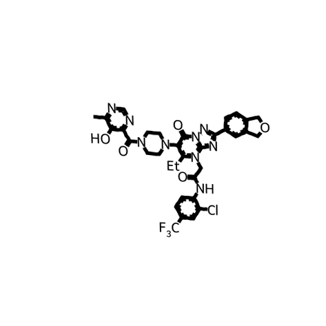 CCc1c(N2CCN(C(=O)c3ncnc(C)c3O)CC2)c(=O)n2nc(-c3ccc4c(c3)COC4)nc2n1CC(=O)Nc1ccc(C(F)(F)F)cc1Cl